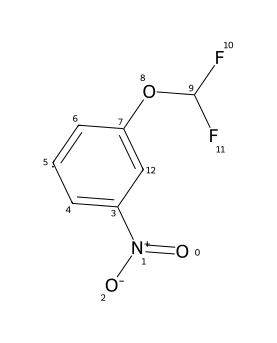 O=[N+]([O-])c1c[c]cc(OC(F)F)c1